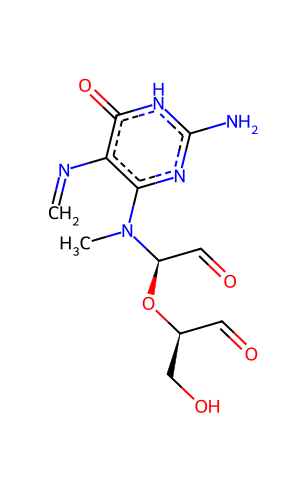 C=Nc1c(N(C)[C@@H](C=O)O[C@@H](C=O)CO)nc(N)[nH]c1=O